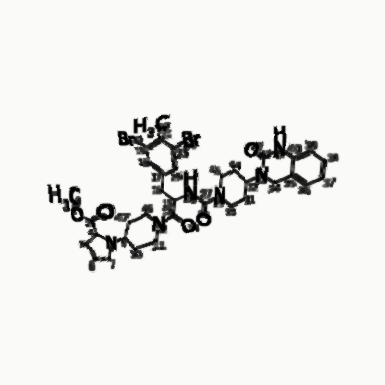 COC(=O)[C@@H]1CCCN1C1CCN(C(=O)C(Cc2cc(Br)c(C)c(Br)c2)NC(=O)N2CCC(N3Cc4ccccc4NC3=O)CC2)CC1